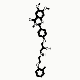 COc1cc2nc(-c3ccc(OCC(O)CNCCOc4ccccc4C)cc3)n(C)c(=O)c2cc1OC